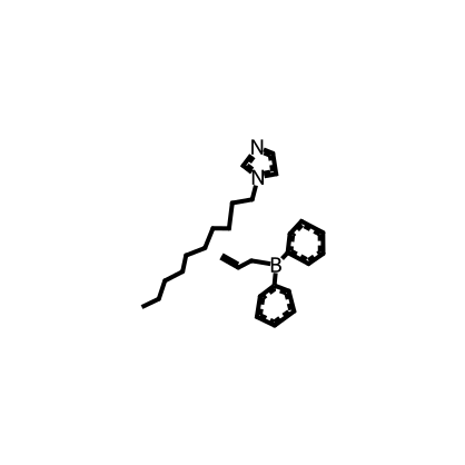 C=CCB(c1ccccc1)c1ccccc1.CCCCCCCCCCn1ccnc1